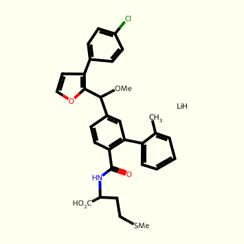 COC(c1ccc(C(=O)NC(CCSC)C(=O)O)c(-c2ccccc2C)c1)c1occc1-c1ccc(Cl)cc1.[LiH]